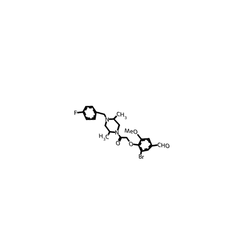 COc1cc(C=O)cc(Br)c1OCC(=O)N1CC(C)N(Cc2ccc(F)cc2)CC1C